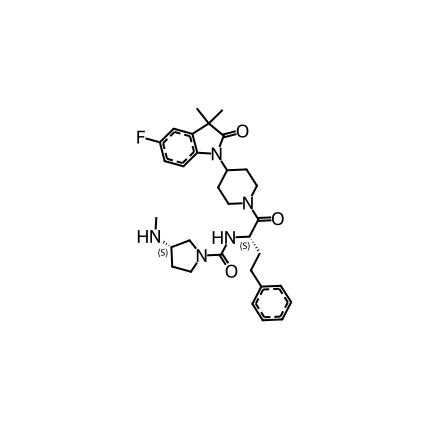 CN[C@H]1CCN(C(=O)N[C@@H](CCc2ccccc2)C(=O)N2CCC(N3C(=O)C(C)(C)c4cc(F)ccc43)CC2)C1